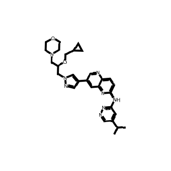 CC(C)c1cnnc(Nc2ccc3ncc(-c4cnn(CC(CN5CCOCC5)OCC5CC5)c4)cc3n2)c1